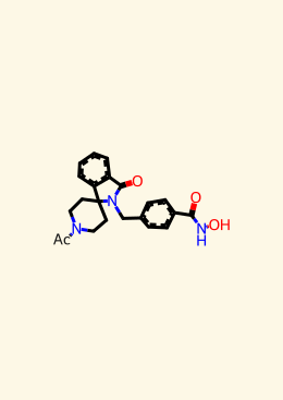 CC(=O)N1CCC2(CC1)c1ccccc1C(=O)N2Cc1ccc(C(=O)NO)cc1